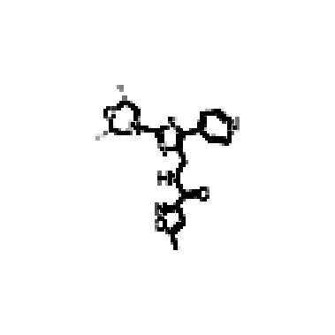 Cc1cc(C(=O)NCc2nc(N3C[C@@H](C)O[C@@H](C)C3)sc2-c2ccncc2)no1